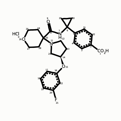 Cl.O=C(O)c1ccc(C2(NC(=O)C3(N4CC[C@@H](Oc5cccc(F)c5)C4)CCOCC3)CC2)cc1